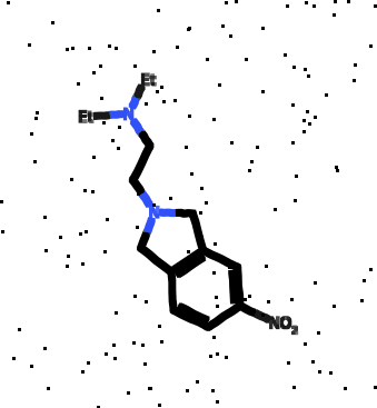 CCN(CC)CCN1Cc2ccc([N+](=O)[O-])cc2C1